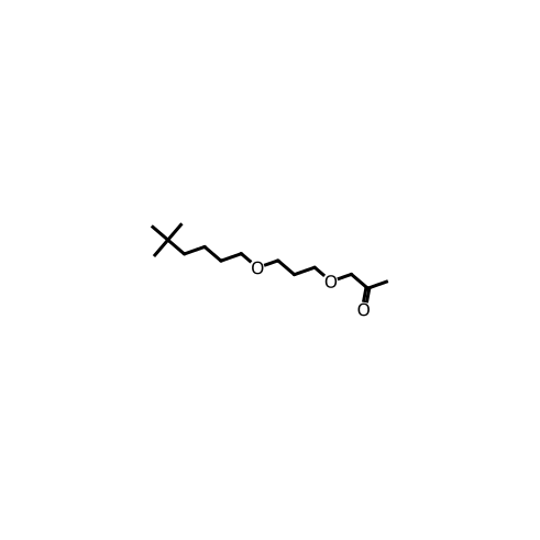 CC(=O)COCCCOCCCCC(C)(C)C